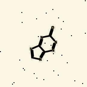 O=C1N=NC2=NC=NC2=N1